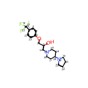 OC(COc1ccc(C(F)(F)F)cc1)CN1CCC(N2CCCC2)CC1